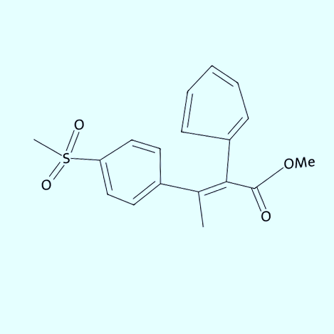 COC(=O)C(=C(C)c1ccc(S(C)(=O)=O)cc1)c1ccccc1